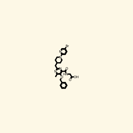 Cc1nc(CC2CCN(c3ccc(Br)cn3)CC2)nc(C(=O)NCC(=O)O)c1OCc1ccccc1